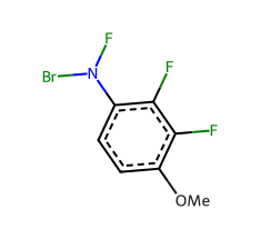 COc1ccc(N(F)Br)c(F)c1F